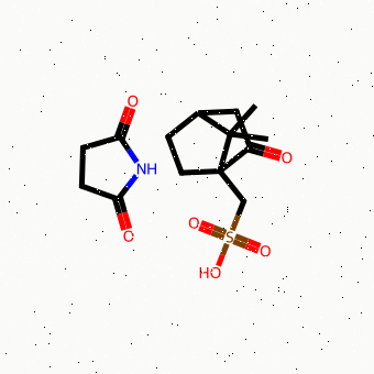 CC1(C)C2CCC1(CS(=O)(=O)O)C(=O)C2.O=C1CCC(=O)N1